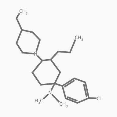 CCCC1CC(c2ccc(Cl)cc2)(N(C)C)CCC1N1CCC(CC)CC1